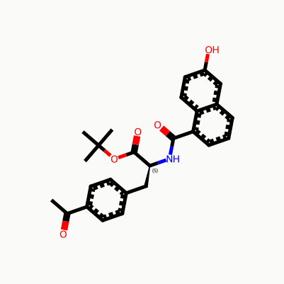 CC(=O)c1ccc(C[C@H](NC(=O)c2cccc3cc(O)ccc23)C(=O)OC(C)(C)C)cc1